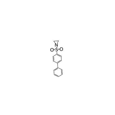 O=S(=O)(c1ccc(-c2ccccc2)cc1)N1CC1